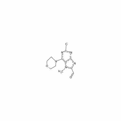 Cn1c(C=O)nc2nc(Cl)nc(N3CCOCC3)c21